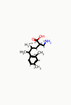 Cc1ccc(C(C)C(C)CC(CN)C(=O)O)c(C)c1